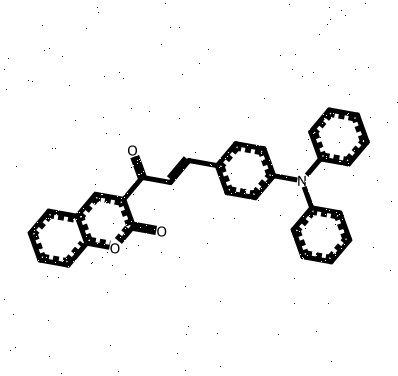 O=C(C=Cc1ccc(N(c2ccccc2)c2ccccc2)cc1)c1cc2ccccc2oc1=O